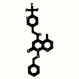 Cc1ncnc2c1c(NCc1ccc(C(F)(F)F)nc1)cc(=O)n2OCc1ccccc1